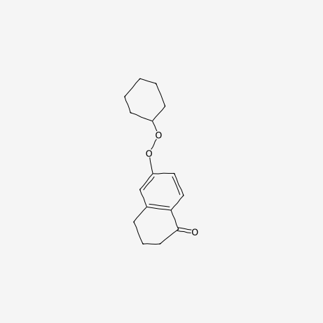 O=C1CCCc2cc(OOC3CCCCC3)ccc21